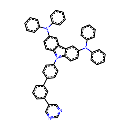 c1ccc(N(c2ccccc2)c2ccc3c(c2)c2cc(N(c4ccccc4)c4ccccc4)ccc2n3-c2ccc(-c3cccc(-c4cncnc4)c3)cc2)cc1